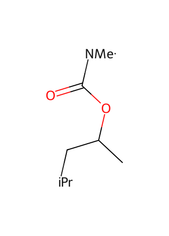 C[N]C(=O)OC(C)CC(C)C